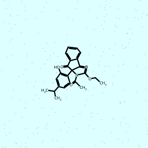 CCOC(=O)N(C(C)=O)C1(c2ccc(C(C)C)cc2O)C(=O)c2ccccc2C1=O